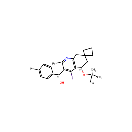 CC(C)c1ccc([C@@H](O)c2c(C(C)C)nc3c(c2I)[C@@H](O[Si](C)(C)C(C)(C)C)CC2(CCC2)C3)cc1